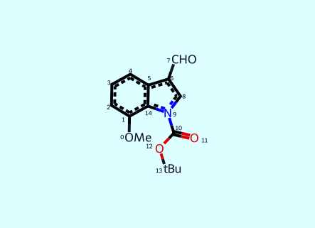 COc1cccc2c(C=O)cn(C(=O)OC(C)(C)C)c12